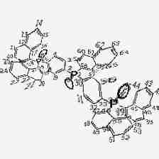 O=P(c1ccc(P(=O)(c2cccc3ccccc23)c2cccc3ccccc23)cc1)(c1ccc(P(=O)(c2cccc3ccccc23)c2cccc3ccccc23)cc1)c1ccc2ccccc2c1